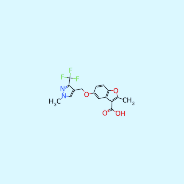 Cc1oc2ccc(OCc3cn(C)nc3C(F)(F)F)cc2c1C(=O)O